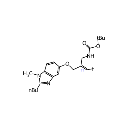 CCCCc1nc2cc(OC/C(=C/F)CNC(=O)OC(C)(C)C)ccc2n1C